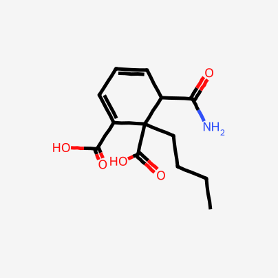 CCCCC1(C(=O)O)C(C(=O)O)=CC=CC1C(N)=O